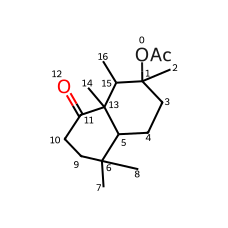 CC(=O)OC1(C)CCC2C(C)(C)CCC(=O)C2(C)C1C